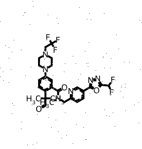 CN(Cc1ccc(-c2nnc(C(F)F)o2)cn1)C(=O)c1cc(N2CCN(CC(F)(F)F)CC2)ccc1C(C)(C)C=O